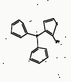 CC(C)c1sccc1P(c1ccccc1)c1ccccc1